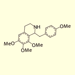 COc1ccc(CC2NCCc3cc(OC)c(OC)c(OC)c32)cc1